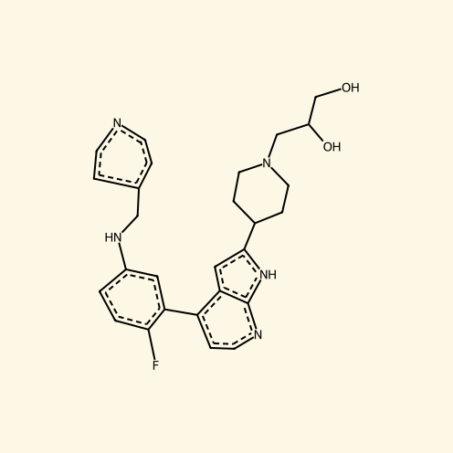 OCC(O)CN1CCC(c2cc3c(-c4cc(NCc5ccncc5)ccc4F)ccnc3[nH]2)CC1